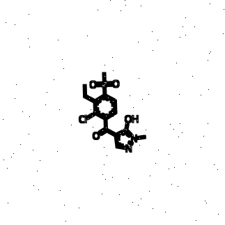 CCc1c(S(C)(=O)=O)ccc(C(=O)c2cnn(C)c2O)c1Cl